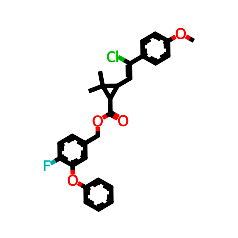 COc1ccc(/C(Cl)=C/C2C(C(=O)OCc3ccc(F)c(Oc4ccccc4)c3)C2(C)C)cc1